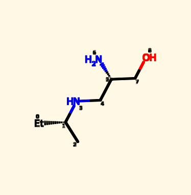 CC[C@@H](C)NC[C@H](N)CO